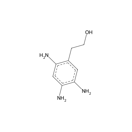 Nc1cc(N)c(CCO)cc1N